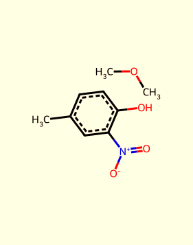 COC.Cc1ccc(O)c([N+](=O)[O-])c1